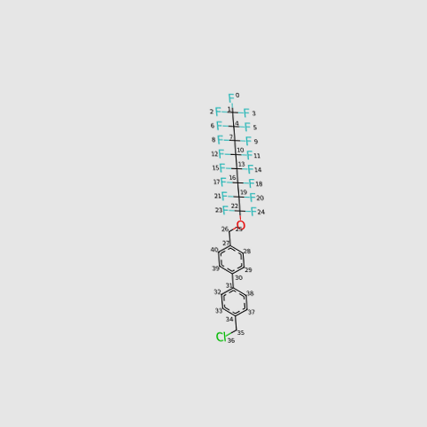 FC(F)(F)C(F)(F)C(F)(F)C(F)(F)C(F)(F)C(F)(F)C(F)(F)C(F)(F)OCc1ccc(-c2ccc(CCl)cc2)cc1